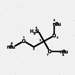 CCCCOCC([SiH3])(OCCCC)OCCCC